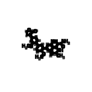 COc1cc(N2CCOC2=O)ccc1-c1ccc(OC)c(-c2ccc3c(NC(C)C4CC4)c(C(N)=O)nnc3c2)c1